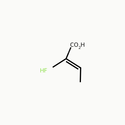 CC=C(C)C(=O)O.F